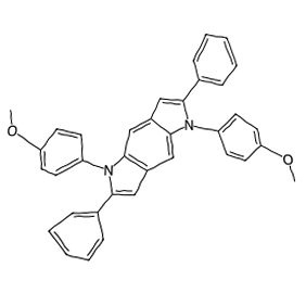 COc1ccc(-n2c(-c3ccccc3)cc3cc4c(cc(-c5ccccc5)n4-c4ccc(OC)cc4)cc32)cc1